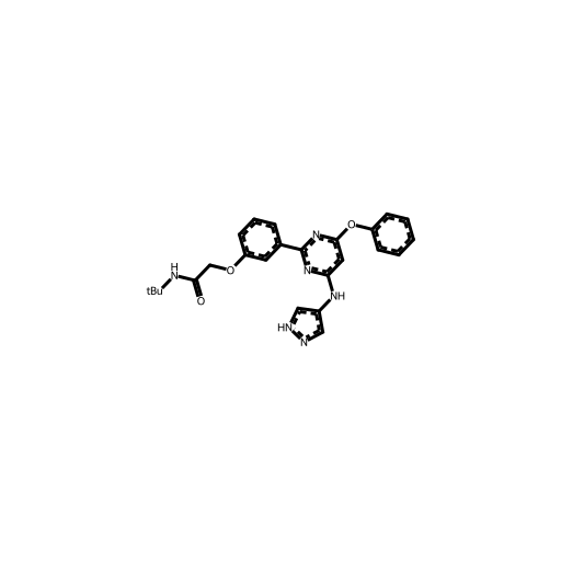 CC(C)(C)NC(=O)COc1cccc(-c2nc(Nc3cn[nH]c3)cc(Oc3ccccc3)n2)c1